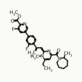 C=C(/C=C1/N=C(C(=O)N2CCCCCC2C)C=C(CC)N1C)c1ccc(-c2cnc(C(=O)OC)c(F)c2)cc1F